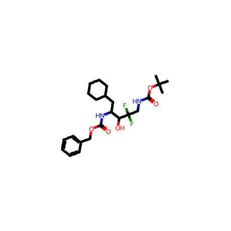 CC(C)(C)OC(=O)NCC(F)(F)C(O)C(CC1CCCCC1)NC(=O)OCc1ccccc1